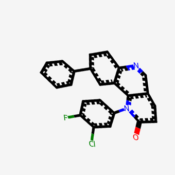 O=c1ccc2cnc3ccc(-c4ccccc4)cc3c2n1-c1ccc(F)c(Cl)c1